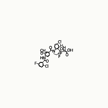 COc1cc(C(=O)N2CCC(F)(F)C(O)(CNC(=O)O)c3cc(Cl)ccc32)ccc1NC(=O)c1cc(F)ccc1Cl